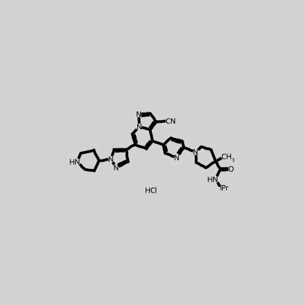 CC(C)NC(=O)C1(C)CCN(c2ccc(-c3cc(-c4cnn(C5CCNCC5)c4)cn4ncc(C#N)c34)cn2)CC1.Cl